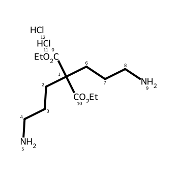 CCOC(=O)C(CCCN)(CCCN)C(=O)OCC.Cl.Cl